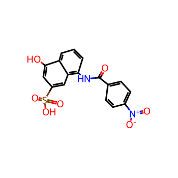 O=C(Nc1cccc2c(O)cc(S(=O)(=O)O)cc12)c1ccc([N+](=O)[O-])cc1